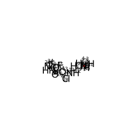 N[C@H]1[C@@H]2CC[C@H]1N(CCCCNc1cc(F)c(S(=O)(=O)Nc3nccs3)cc1Cl)C2